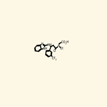 CCN(CC(=O)O)C(=O)CC(Nc1nc2ccccc2[nH]1)c1cccc(C(F)(F)F)c1